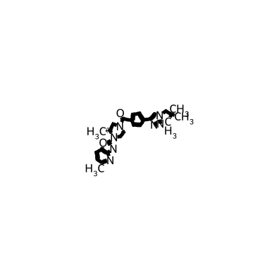 Cc1ccc2oc(N3CCN(C(=O)c4ccc(-c5cn(CC(C)(C)C)nn5)cc4)C[C@H]3C)nc2n1